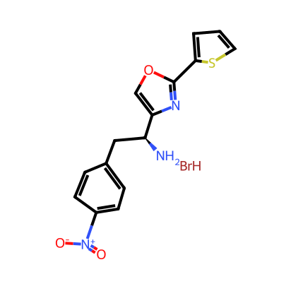 Br.N[C@@H](Cc1ccc([N+](=O)[O-])cc1)c1coc(-c2cccs2)n1